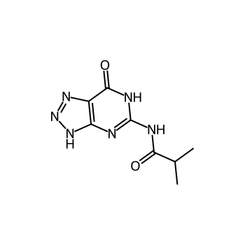 CC(C)C(=O)Nc1nc2[nH]nnc2c(=O)[nH]1